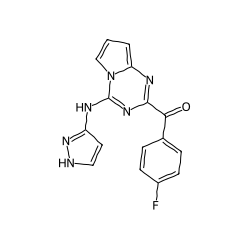 O=C(c1ccc(F)cc1)c1nc(Nc2cc[nH]n2)n2cccc2n1